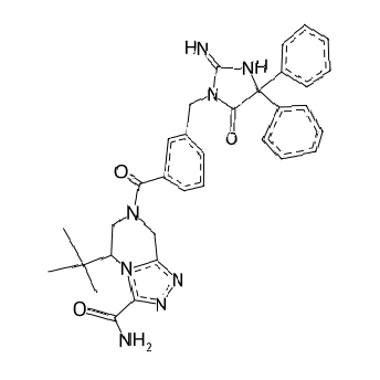 CC(C)(C)C1CN(C(=O)c2cccc(CN3C(=N)NC(c4ccccc4)(c4ccccc4)C3=O)c2)Cc2nnc(C(N)=O)n21